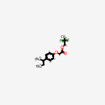 CC(C)(C)CC(c1ccc(OCC(=O)OCC(F)(F)C(F)(F)F)cc1)C(C)(C)C